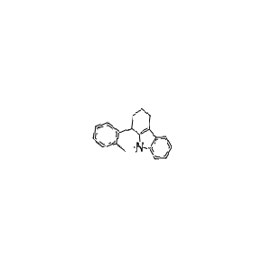 Cc1ccccc1C1CCCC2=C1[N]c1ccccc12